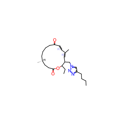 CCCCc1cn(CC2/C=C(C)/C=C/C(=O)CCCC[C@@H](C)CCC(=O)OC2CC)nn1